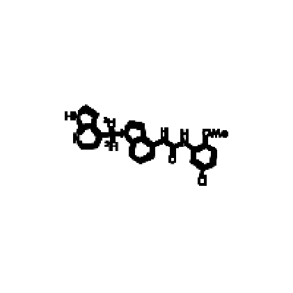 [2H]C([2H])(c1ccnc2[nH]ccc12)n1ccc2c(NC(=O)Nc3cc(Cl)ccc3OC)cccc21